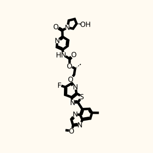 COc1cnc2c(-c3nc4cc(F)c(OC[C@@H](C)OC(=O)Nc5ccc(C(=O)N6CC[C@H](O)C6)nc5)nc4s3)cc(C)cc2n1